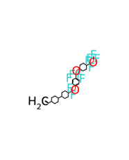 C=CC1CCC(C2CCC(C(F)(F)Oc3cc(F)c(C(F)(F)OC4CCC(C(F)(F)OC(F)(F)F)CC4)c(F)c3)CC2)CC1